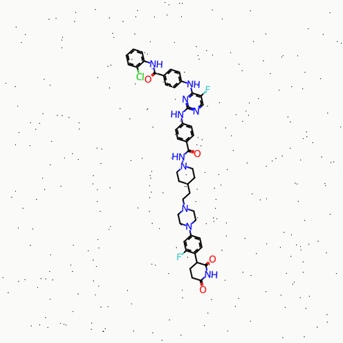 O=C1CCC(c2ccc(N3CCN(CCC4CCN(NC(=O)c5ccc(Nc6ncc(F)c(Nc7ccc(C(=O)Nc8ccccc8Cl)cc7)n6)cc5)CC4)CC3)cc2F)C(=O)N1